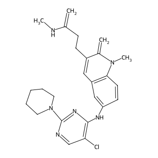 C=C(CCC1=Cc2cc(Nc3nc(N4CCCCC4)ncc3Cl)ccc2N(C)C1=C)NC